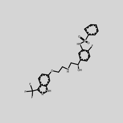 O=S(=O)(Nc1cc([C@@H](O)CNCCOc2ccc3c(C(F)(F)F)n[nH]c3c2)ccc1F)c1ccccc1